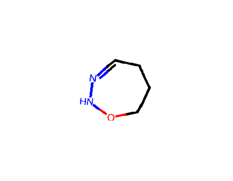 C1=NNOCCC1